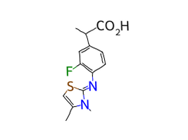 Cc1csc(=Nc2ccc(C(C)C(=O)O)cc2F)n1C